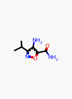 CC(C)c1noc(C(N)=O)c1N